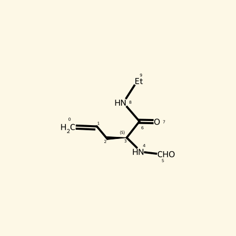 C=CC[C@H](NC=O)C(=O)NCC